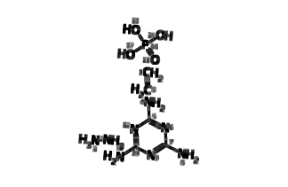 C=C.N.N.Nc1nc(N)nc(N)n1.O=P(O)(O)O